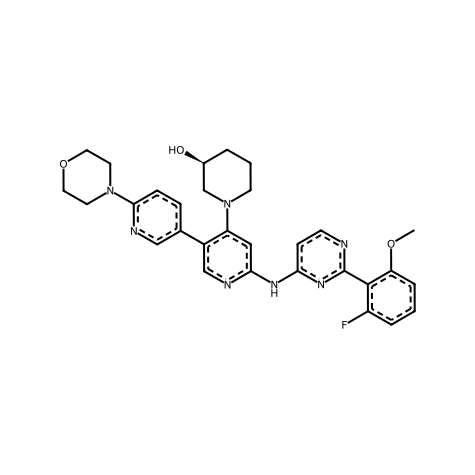 COc1cccc(F)c1-c1nccc(Nc2cc(N3CCC[C@H](O)C3)c(-c3ccc(N4CCOCC4)nc3)cn2)n1